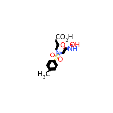 Cc1ccc(S(=O)(=O)N(CCCC(=O)O)CC(=O)NO)cc1